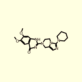 COc1cc2[nH]c(N3CCn4c(cnc4N4CCCCC4)C3)nc(=O)c2cc1OC